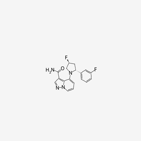 NC(=O)c1cnn2cccc(N3C[C@@H](F)C[C@@H]3c3cccc(F)c3)c12